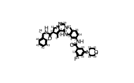 CC1=C2C(Nc3cc(NC(=O)c4cc(F)cc(N5CCOCC5)c4)ccc3C)=NC=NN2CC1C(=O)N[C@@H](C)c1ccccc1